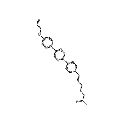 C=CCOc1ccc(-c2cnc(-c3ccc(C=CCCCC(C)F)cc3)cn2)cc1